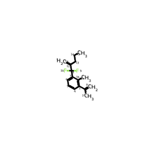 C=C(C)c1cccc(C(F)(F)C(=C)CCC)c1C